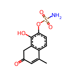 CC1=CC(=O)Cc2c1ccc(OS(N)(=O)=O)c2O